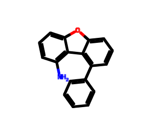 Nc1cccc2oc3cccc(-c4ccccc4)c3c12